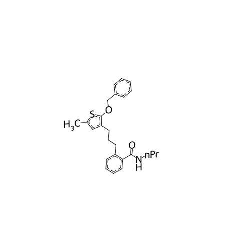 CCCNC(=O)c1ccccc1CCCc1cc(C)sc1OCc1ccccc1